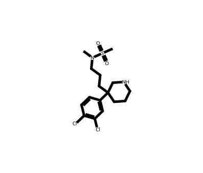 CN(CCCC1(c2ccc(Cl)c(Cl)c2)CCCNC1)S(C)(=O)=O